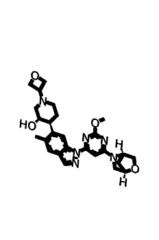 COc1nc(N2C[C@H]3C[C@@H]2CO3)cc(-n2ncc3cc(C)c([C@@H]4CCN(C5COC5)C[C@@H]4O)cc32)n1